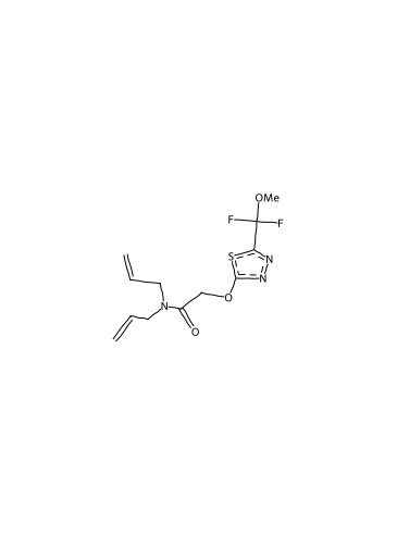 C=CCN(CC=C)C(=O)COc1nnc(C(F)(F)OC)s1